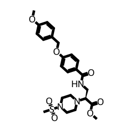 COC(=O)[C@H](CNC(=O)c1ccc(OCc2ccc(OC)cc2)cc1)N1CCN(S(C)(=O)=O)CC1